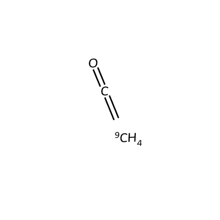 C=C=O.[9CH4]